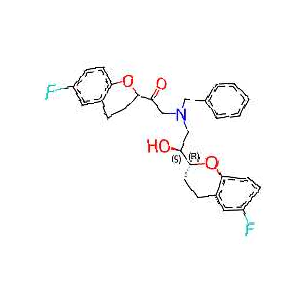 O=C(CN(Cc1ccccc1)C[C@H](O)[C@H]1CCc2cc(F)ccc2O1)C1CCc2cc(F)ccc2O1